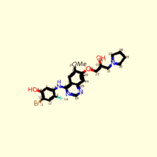 COc1cc2c(Nc3cc(O)c(Br)cc3F)ncnc2cc1OCC(O)CN1CCCC1